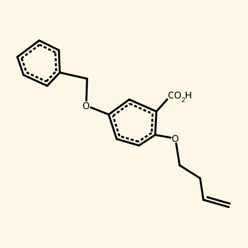 C=CCCOc1ccc(OCc2ccccc2)cc1C(=O)O